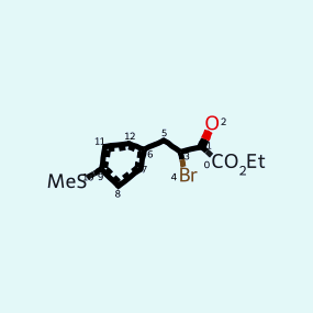 CCOC(=O)C(=O)C(Br)Cc1ccc(SC)cc1